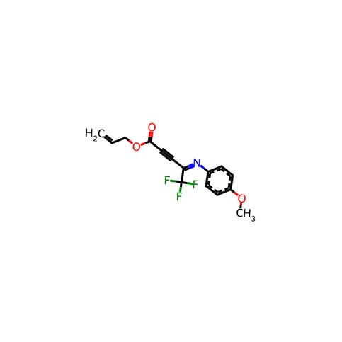 C=CCOC(=O)C#C/C(=N/c1ccc(OC)cc1)C(F)(F)F